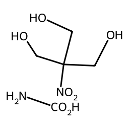 NC(=O)O.O=[N+]([O-])C(CO)(CO)CO